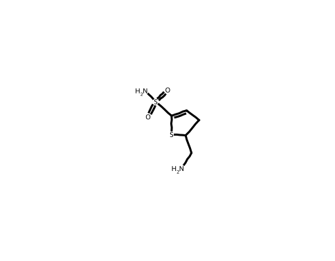 NCC1CC=C(S(N)(=O)=O)S1